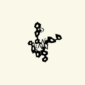 c1ccc(-c2ccc(-c3nc(-c4ccc(-c5ccccc5)cc4)nc(-c4cc(-c5ccc6c(c5)oc5ccccc56)cc(-n5c6ccccc6c6ccc7c8ccccc8sc7c65)c4)n3)cc2)cc1